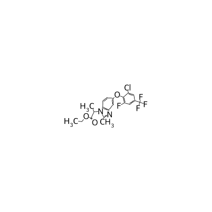 CCOC(=O)C(C)n1c(C)nc2cc(Oc3c(F)cc(C(F)(F)F)cc3Cl)ccc21